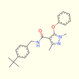 Cc1nn(C)c(Oc2ccccc2)c1C(=O)NCc1ccc(C(C)(C)C)cc1